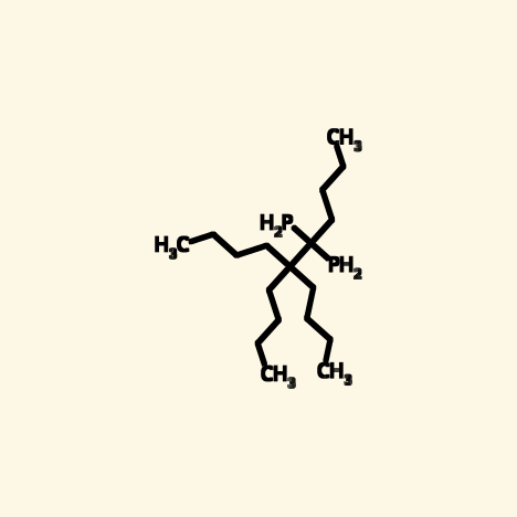 CCCCC(P)(P)C(CCCC)(CCCC)CCCC